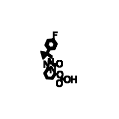 O=C(O)O[C@H]1CCCc2nn(CC3(c4ccc(F)cc4)CC3)c(=O)n21